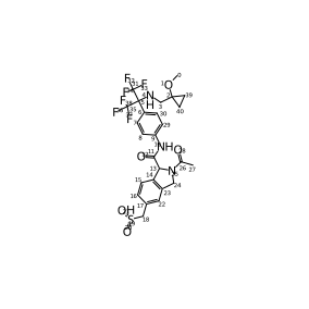 COC1(CNC(c2ccc(NC(=O)C3c4ccc(C[SH](=O)=O)cc4CN3C(C)=O)cc2)(C(F)(F)F)C(F)(F)F)CC1